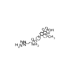 C[C@H]1CCc2c(N3CCC(OC(=O)[C@@H](N)CCCNC(=N)N)CC3)ccc3c(=O)c(C(=O)O)c(F)n1c23